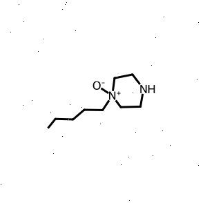 CCCCC[N+]1([O-])CCNCC1